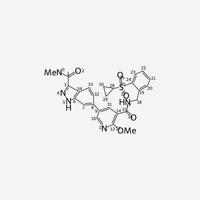 CNC(=O)c1n[nH]c2cc(-c3cnc(OC)c(C(=O)NCc4ccccc4S(=O)(=O)C4CC4)c3)ccc12